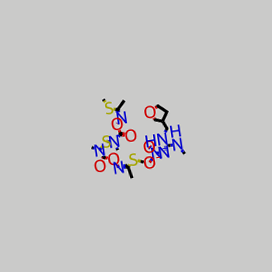 CN/C(=N/[N+](=O)[O-])NCC1CCOC1.CS/C(C)=N\OC(=O)N(C)SN(C)C(=O)O/N=C(/C)SC